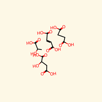 CC(O)C(=O)O.O=C(O)C=CC(=O)O.O=C(O)CC(O)C(=O)O.O=C(O)CCC(=O)O